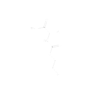 COC(=O)[C@@H](NC(=O)OCCBr)C(C)C